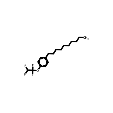 CCCCCCCCCCc1ccc(OC(F)(F)C(F)F)cc1